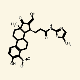 Cc1cnc(NC(=O)CC[C@@H]2C(=CO)C(=O)[C@@]3(C)CCC4c5ccc(O)c([N+](=O)[O-])c5CCC4C23)s1